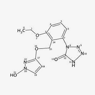 CCOc1cccc(-n2nn[nH]c2=O)c1COc1ccn(O)n1